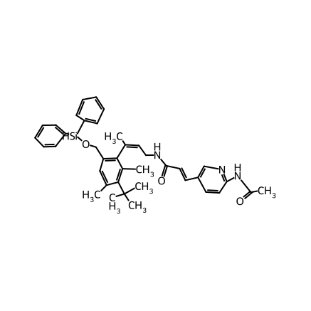 CC(=O)Nc1ccc(C=CC(=O)NCC=C(C)c2c(CO[SiH](c3ccccc3)c3ccccc3)cc(C)c(C(C)(C)C)c2C)cn1